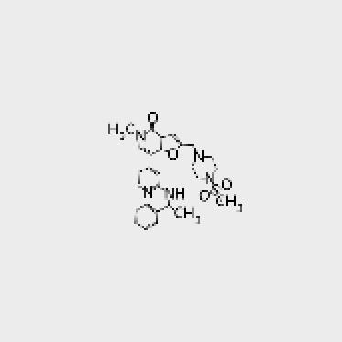 CC(Nc1cc(-c2cn(C)c(=O)c3cc(CN4CCN(S(C)(=O)=O)CC4)oc23)ccn1)c1ccccc1